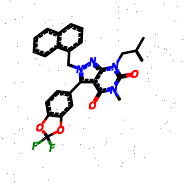 CC(C)Cn1c(=O)n(C)c(=O)c2c(-c3ccc4c(c3)OC(F)(F)O4)n(Cc3cccc4ccccc34)nc21